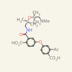 CNC[Si](C)(C)O[Si](C)(C)CNC(=O)c1cc(Oc2ccc(C(=O)O)c(C(C)=O)c2)ccc1C(=O)O